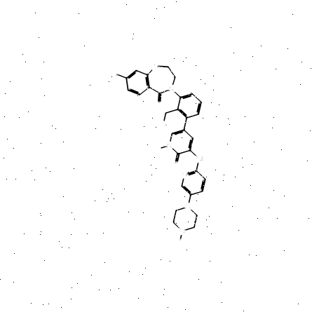 CN1CCN(c2ccc(Nc3cc(-c4cccc(N5CCNc6cc(C(C)(C)C)ccc6C5=O)c4CO)cn(C)c3=O)nc2)CC1